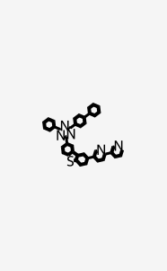 c1ccc(-c2ccc(-c3nc(-c4ccccc4)nc(-c4ccc5sc6ccc(-c7ccc(-c8cccnc8)nc7)cc6c5c4)n3)cc2)cc1